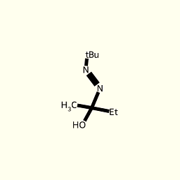 CCC(C)(O)N=NC(C)(C)C